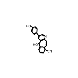 N#Cc1cccc2c1C=Cc1ncc(-c3ccc(O)cc3)cc1C2O